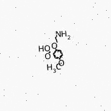 COc1ccc(OCCN)cc1.O=CO